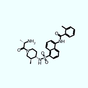 Cc1ccccc1C(=O)Nc1cccc2c(S(=O)(=O)N[C@H]3CCN(C(=O)[C@H](C)N)C[C@@H]3C)cccc12